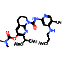 COCCNc1cc(NC(=O)N2CCCc3cc(OC(=O)N(C)C)c(C(OC)OC)nc32)ncc1C#N